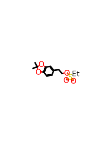 CCS(=O)(=O)OCCc1ccc2c(c1)OC(C)(C)O2